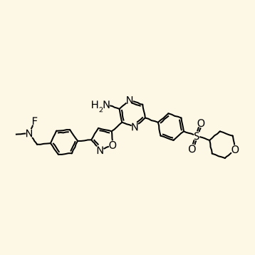 CN(F)Cc1ccc(-c2cc(-c3nc(-c4ccc(S(=O)(=O)C5CCOCC5)cc4)cnc3N)on2)cc1